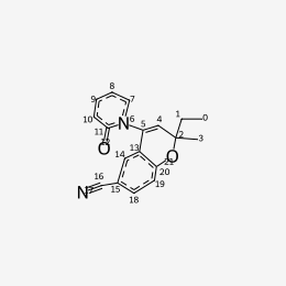 CCC1(C)C=C(n2ccccc2=O)c2cc(C#N)ccc2O1